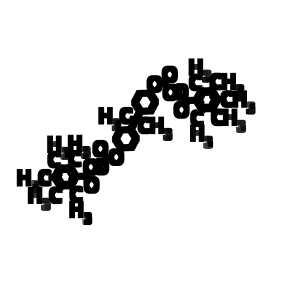 Cc1c(C)c(C)c(C(=O)OOC(=O)OC2CCC(C(C)(C)C3CCC(OC(=O)OOC(=O)c4c(C)c(C)c(C)c(C)c4C)CC3)CC2)c(C)c1C